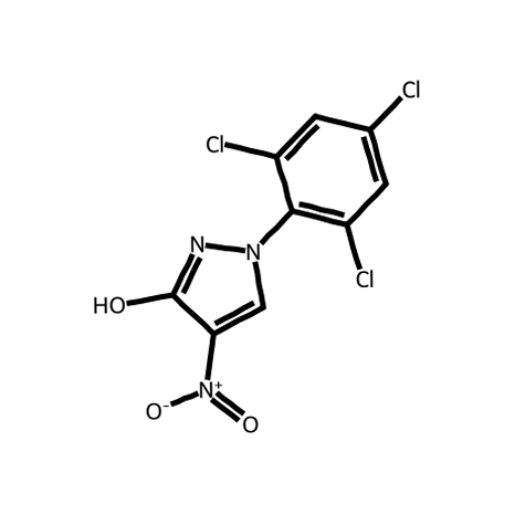 O=[N+]([O-])c1cn(-c2c(Cl)cc(Cl)cc2Cl)nc1O